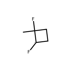 CC1(F)CC[C]1F